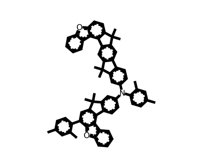 Cc1ccc(-c2cc3c(c4c2oc2ccccc24)-c2ccc(N(c4ccc5c(c4)C(C)(C)c4cc6c(cc4-5)C(C)(C)c4ccc5oc7ccccc7c5c4-6)c4ccc(C)cc4C)cc2C3(C)C)c(C)c1